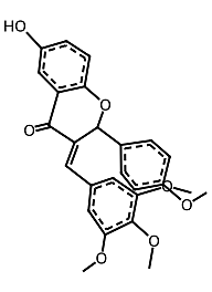 COc1ccc(C2Oc3ccc(O)cc3C(=O)/C2=C/c2cc(OC)c(OC)c(OC)c2)cc1